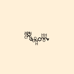 O=C(NC1CC1)N[C@H]1CC[C@H](NC(=O)O[C@@H]2CCN(c3cn[nH]c(=O)c3Cl)C2)CC1